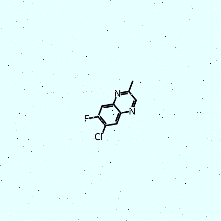 Cc1cnc2cc(Cl)c(F)cc2n1